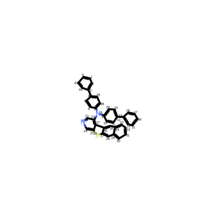 c1ccc(-c2ccc(N(c3ccc(-c4ccccc4)cc3)c3cncc4sc5cc6ccccc6cc5c34)cc2)cc1